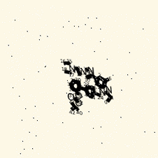 CCc1nc2c(C)cc(-c3cn(CCN(CC)CC)cn3)cc2n1Cc1ccc(-c2ccccc2OC(=O)OC(C)(C)C)cc1